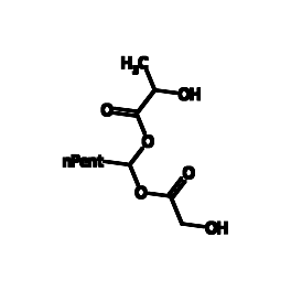 CCCCCC(OC(=O)CO)OC(=O)C(C)O